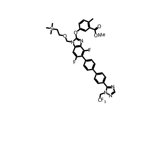 COC(=O)c1cc(Oc2nc3c(F)c(-c4ccc(-c5ccc(-c6ncnn6CC(F)(F)F)cc5)cc4)c(F)cc3n2COCC[Si](C)(C)C)ccc1C